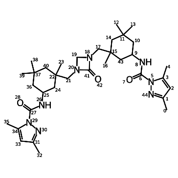 Cc1cc(C)n(C(=O)NC2CC(C)(C)CC(C)(CN3CN(CC4(C)CC(NC(=O)n5nc(C)cc5C)CC(C)(C)C4)C3=O)C2)n1